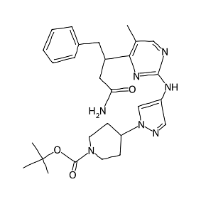 Cc1cnc(Nc2cnn(C3CCN(C(=O)OC(C)(C)C)CC3)c2)nc1C(CC(N)=O)Cc1ccccc1